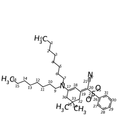 CCCCCCCCN(CCCCCCCC)C1=C/C(=C(\C#N)S(=O)(=O)c2ccccc2)CC(C)(C)C1